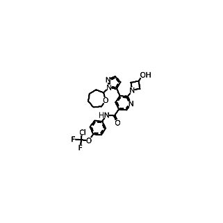 O=C(Nc1ccc(OC(F)(F)Cl)cc1)c1cnc(N2CC(O)C2)c(-c2ccnn2C2CCCCCO2)c1